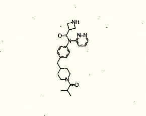 CC(C)C(=O)N1CCC(Cc2ccc(N(C(=O)C3CNC3)c3cccnn3)cc2)CC1